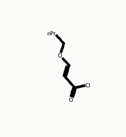 CCCCOC=CC(=O)Cl